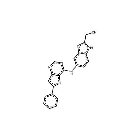 OCc1cc2cc(Nc3ncnc4cc(-c5ccccc5)sc34)ccc2[nH]1